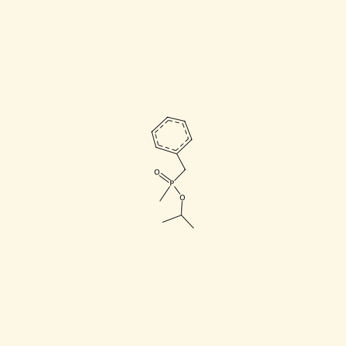 CC(C)OP(C)(=O)Cc1ccccc1